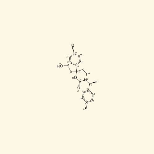 C[C@@H](c1ccc(F)cc1)N1CCC(CCO)(c2ccc(F)cc2)OC1=O